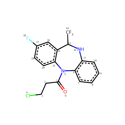 O=C(CCCl)N1c2ccccc2NC(C(F)(F)F)c2cc(F)ccc21